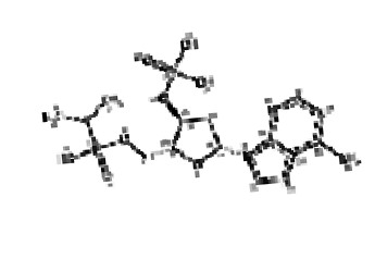 CC(C)P(=O)(O)OC[C@H]1O[C@@H](n2cnc3c(N)ncnc32)C[C@@H]1OP(=O)(O)O